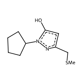 CSCc1cc(O)n(C2CCCC2)n1